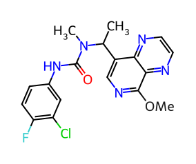 COc1ncc(C(C)N(C)C(=O)Nc2ccc(F)c(Cl)c2)c2nccnc12